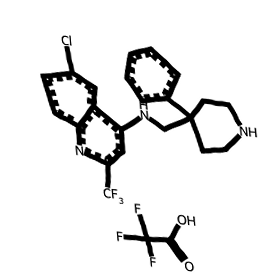 FC(F)(F)c1cc(NCC2(c3ccccc3)CCNCC2)c2cc(Cl)ccc2n1.O=C(O)C(F)(F)F